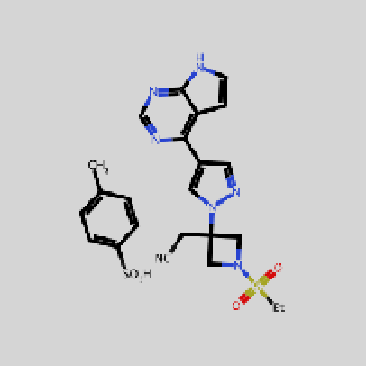 CCS(=O)(=O)N1CC(CC#N)(n2cc(-c3ncnc4[nH]ccc34)cn2)C1.Cc1ccc(S(=O)(=O)O)cc1